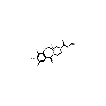 CC(C)(C)OC(=O)N1CCN2C(=O)c3cc(F)c(Br)c(F)c3OC[C@H]2C1